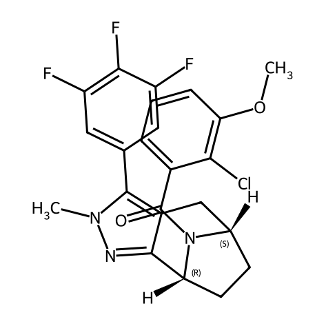 COc1cccc(C(=O)N2[C@H]3CC[C@@H]2c2nn(C)c(-c4cc(F)c(F)c(F)c4)c2C3)c1Cl